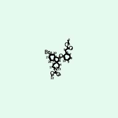 CCOC(=O)Cc1ccccc1OC1CC2(CCN(C(=O)OC)CC2)c2ccc(Br)cc21